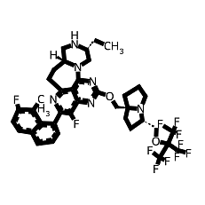 CC[C@@H]1CN2c3nc(OC[C@@]45CCCN4[C@H](COC(C(F)(F)F)(C(F)(F)F)C(F)(F)F)CC5)nc4c(F)c(-c5cccc6ccc(F)c(C)c56)nc(c34)CC[C@@H]2CN1